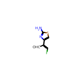 Nc1nc(C([C]=O)=CF)cs1